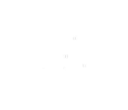 O=[SH](CO)(CO)CO